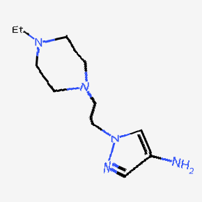 CCN1CCN(CCn2cc(N)cn2)CC1